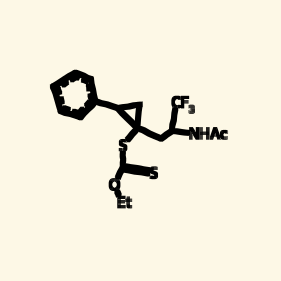 CCOC(=S)SC1(CC(NC(C)=O)C(F)(F)F)CC1c1ccccc1